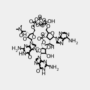 CC(C)[C@H]1[C@H](n2cnc3c(N)ncnc32)OC(COP(=O)(O)OP(=O)(O)OP(=O)(O)OC[C@H]2OC(n3c[n+](C)c4c(=O)[nH]c(N)nc43)[C@H](O)[C@@H]2CC(=O)N(C)C)[C@H]1P(=O)([O-])OC[C@H]1O[C@@H](n2cnc3c(=O)[nH]c(N)nc32)[C@H](O)[C@@H]1O